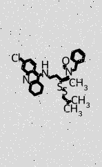 CC(=C(CCNc1c2c(nc3cc(Cl)ccc13)CCCC2)SSCC(C)C)N(C=O)Cc1ccccc1